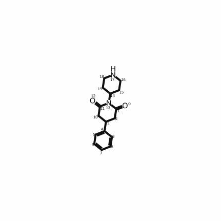 O=C1CC(c2ccccc2)CC(=O)N1C1CCNCC1